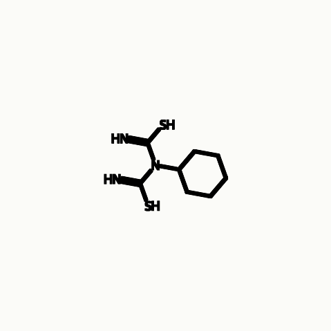 N=C(S)N(C(=N)S)C1CCCCC1